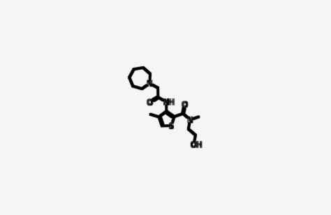 Cc1csc(C(=O)N(C)CCO)c1NC(=O)CN1CCCCCC1